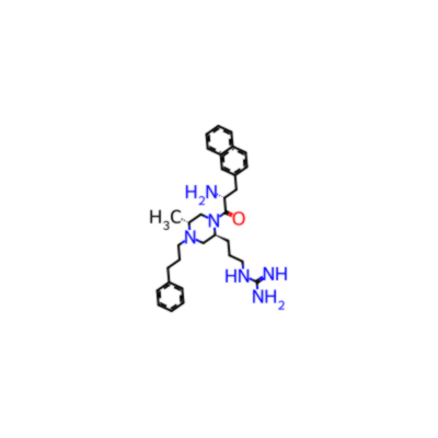 C[C@@H]1CN(C(=O)[C@H](N)Cc2ccc3ccccc3c2)[C@@H](CCCNC(=N)N)CN1CCCc1ccccc1